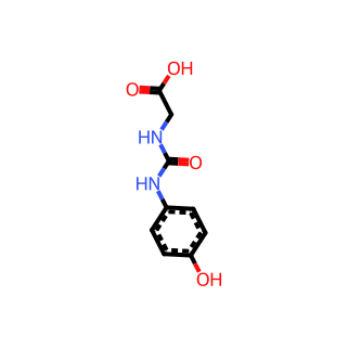 O=C(O)CNC(=O)Nc1ccc(O)cc1